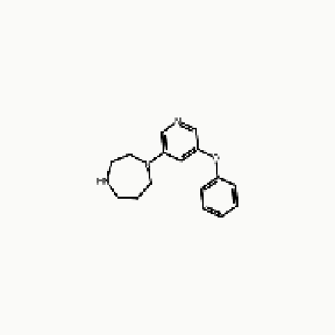 c1ccc(Oc2cncc(N3CCCNCC3)c2)cc1